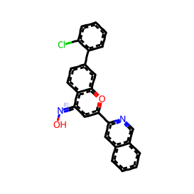 O/N=c1\cc(-c2cc3ccccc3cn2)oc2cc(-c3ccccc3Cl)ccc12